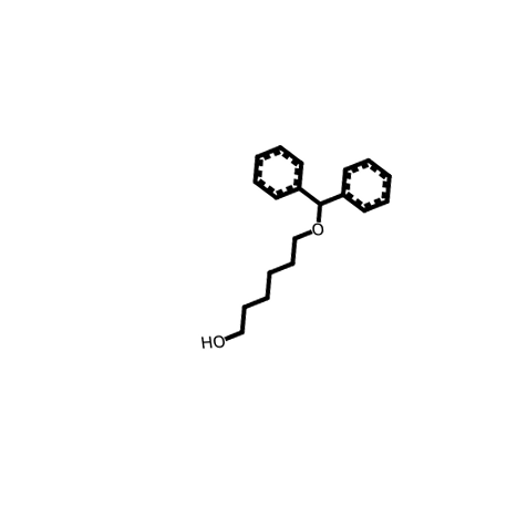 OCCCCCCOC(c1ccccc1)c1ccccc1